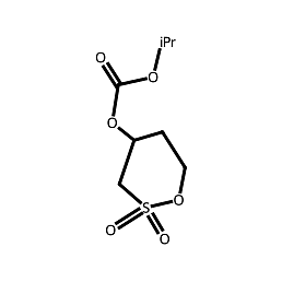 CC(C)OC(=O)OC1CCOS(=O)(=O)C1